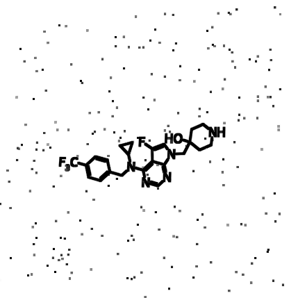 OC1(Cn2cc(F)c3c(N(Cc4ccc(C(F)(F)F)cc4)C4CC4)ncnc32)CCNCC1